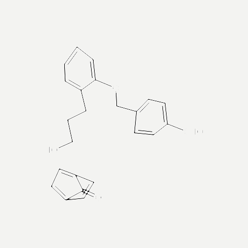 O=C1C2=CC=C1C=C2.O=Cc1ccc(COc2ccccc2CCCO)cc1